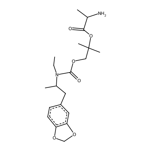 CCN(C(=O)OCC(C)(C)OC(=O)C(C)N)C(C)Cc1ccc2c(c1)OCO2